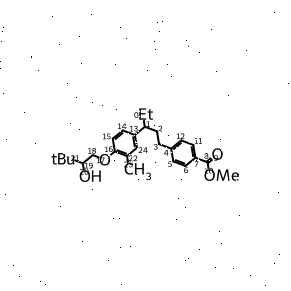 CCC(CCc1ccc(C(=O)OC)cc1)c1ccc(OCC(O)C(C)(C)C)c(C)c1